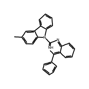 C/C(=C1/C=CC=C/C1=N/C(=N)n1c2ccccc2c2cc(C)ccc21)c1ccccc1